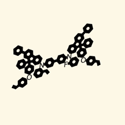 C=Cc1ccc(Oc2ccc(C3(c4ccccc4)c4cc(-c5ccccc5)ccc4-c4ccc(N(c5ccc(-c6ccc(N(c7ccc8c(c7)C(c7ccccc7)(c7ccc(Oc9ccc(C=C)cc9)cc7)c7cc(-c9ccccc9)ccc7-8)c7ccccc7C=C)cc6)cc5)c5ccccc5F)cc43)cc2)cc1